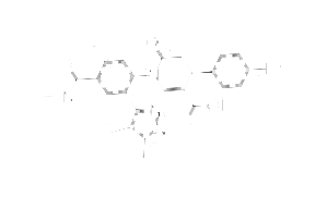 Cc1cc(N2C=C(C(=O)O)[C@H](c3ccc(F)cc3)CC2=O)c(-c2[nH]nc(C)c2C)cc1C(N)=O